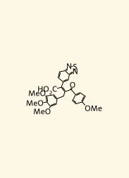 COc1ccc(C(=O)C(Cc2cc(OC)c(OC)c(OC)c2)=C(C(=O)O)c2ccc3nsnc3c2)cc1